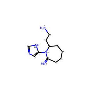 N=C1CCCCC(CCN)N1c1cnc[nH]1